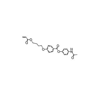 C=CC(=O)OCCCCOc1ccc(C(=O)Oc2ccc(NC(C)=O)cc2)cc1